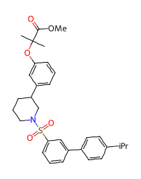 COC(=O)C(C)(C)Oc1cccc(C2CCCN(S(=O)(=O)c3cccc(-c4ccc(C(C)C)cc4)c3)C2)c1